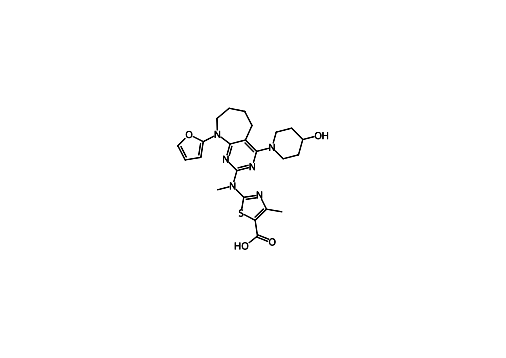 Cc1nc(N(C)c2nc(N3CCC(O)CC3)c3c(n2)N(c2ccco2)CCCC3)sc1C(=O)O